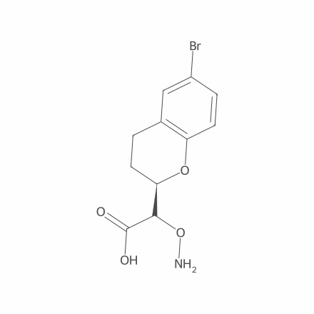 NOC(C(=O)O)[C@H]1CCc2cc(Br)ccc2O1